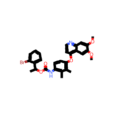 COc1cc2nccc(Oc3ccc(NC(=O)OC(C)c4ccccc4Br)c(C)c3C)c2cc1OC